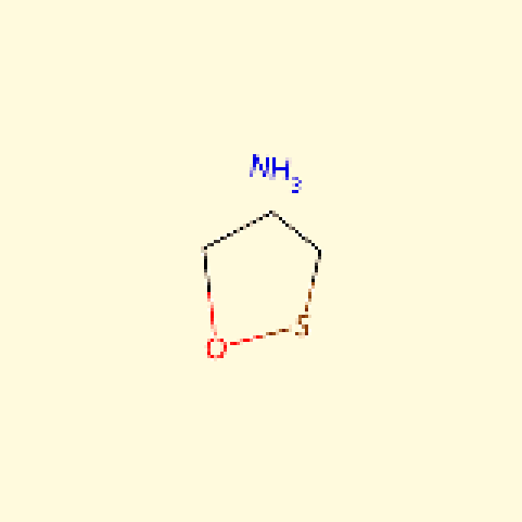 C1COSC1.N